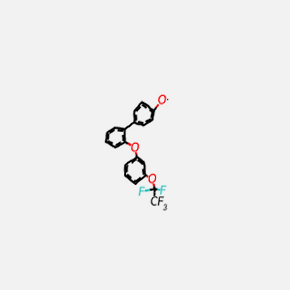 [O]c1ccc(-c2ccccc2Oc2cccc(OC(F)(F)C(F)(F)F)c2)cc1